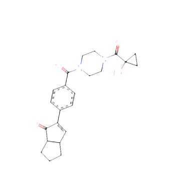 O=C1C(c2ccc(C(=O)N3CCN(C(=O)C4(O)CC4)CC3)cc2)=CC2CCCC12